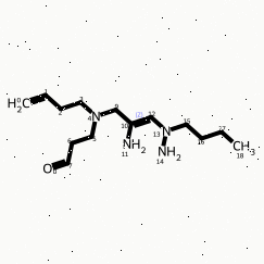 C=CCCN(CCC=O)C/C(N)=C/N(N)CCCC